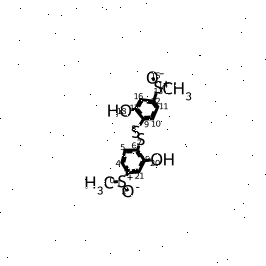 C[S+]([O-])c1ccc(SSc2ccc([S+](C)[O-])cc2O)c(O)c1